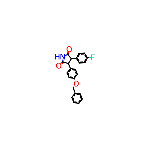 O=C1NC(=O)C(c2ccc(OCc3ccccc3)cc2)C1c1ccc(F)cc1